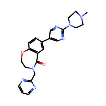 CN1CCN(c2ncc(-c3ccc4c(c3)C(=O)N(Cc3ncccn3)CCO4)cn2)CC1